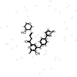 Cc1nc(C(=O)C/C=C/[C@H]2COCC[C@@H]2O)cc(Cc2ccc(-c3ccn(C)n3)cc2)c1C#N